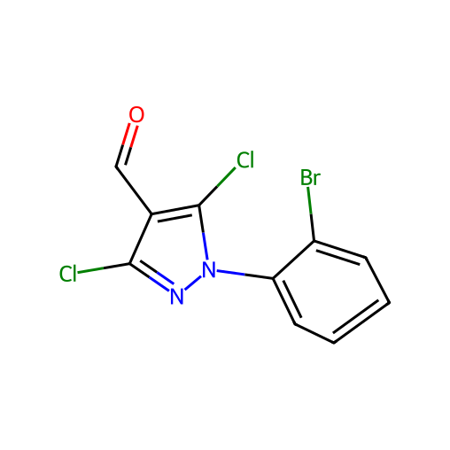 O=Cc1c(Cl)nn(-c2ccccc2Br)c1Cl